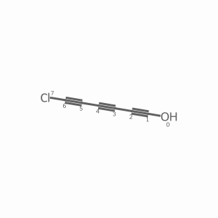 OC#CC#CC#CCl